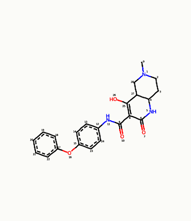 CN1CCC2NC(=O)C(C(=O)Nc3ccc(Oc4ccccc4)cc3)=C(O)C2C1